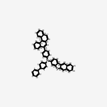 c1ccc(-c2ccc(N(c3ccc(-c4cc5ccc6ccccc6c5c5ccccc45)cc3)c3ccc4c(c3)sc3cc5ccccc5cc34)cc2)cc1